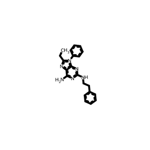 CCc1nc2c(N)nc(NCCc3ccccc3)nc2n1-c1ccccc1